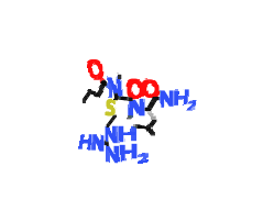 CCCC(=O)N(C)C(SCCNC(=N)N)C(=O)N(C)[C@@H](CC(C)C)C(N)=O